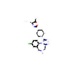 Cc1nc([C@H]2CC[C@H](c3nnc4n3-c3ccc(Cl)cc3CN(C)C4)CC2)oc1C